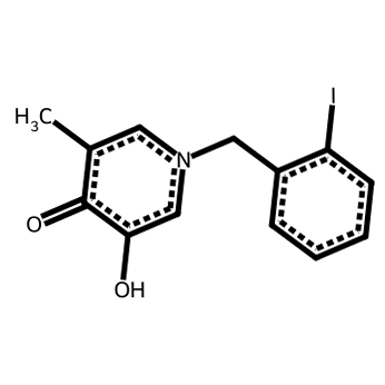 Cc1cn(Cc2ccccc2I)cc(O)c1=O